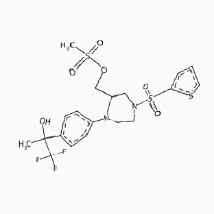 CC(O)(c1ccc(N2CCN(S(=O)(=O)c3cccs3)CC2COS(C)(=O)=O)cc1)C(F)(F)F